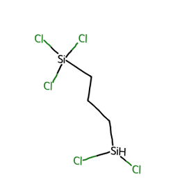 Cl[SiH](Cl)CCC[Si](Cl)(Cl)Cl